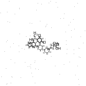 C[C@@H](Nc1cc(N2CCC([C@H]3CCCN(C4CC(C)(C(=O)O)C4)C3)CC2)nc2ccnn12)c1ccc(Cl)cc1Cl